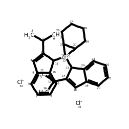 CC(C)C1=Cc2ccccc2[CH]1[Zr+2]1([CH]2C(C(C)C)=Cc3ccccc32)[CH]2CCCC[CH]21.[Cl-].[Cl-]